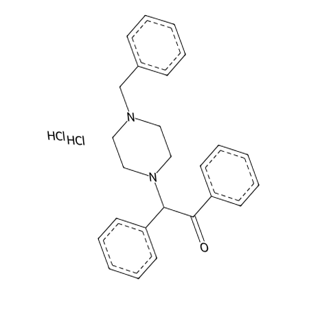 Cl.Cl.O=C(c1ccccc1)C(c1ccccc1)N1CCN(Cc2ccccc2)CC1